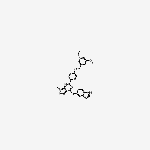 COc1cc(COc2ccc(-c3nc(Oc4ccc5[nH]ccc5c4)c4cnn(C)c4n3)cc2)cc(OC)c1